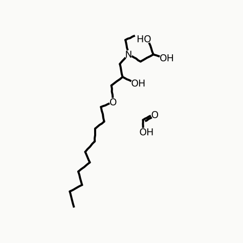 CCCCCCCCCCOCC(O)CN(CC)CC(O)O.O=CO